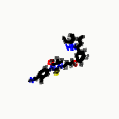 CCCC(NC(CC)CC)c1cccc(OCCCCN2C(=S)N(c3ccc(C#N)c(C)c3)C(=O)C2(C)C)c1